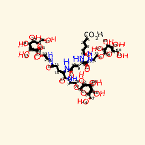 O=C(O)CCCCC(=O)N[C@@H](CCC(=O)NC(CCC(=O)NCCO[C@H]1O[C@H](CO)[C@@H](O)[C@H](O)[C@@H]1O)C(=O)NCCO[C@H]1O[C@H](CO)[C@@H](O)[C@H](O)[C@@H]1O)C(=O)NCCO[C@H]1O[C@H](CO)[C@@H](O)[C@H](O)[C@@H]1O